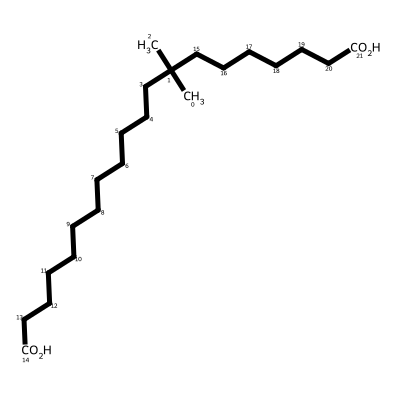 CC(C)(CCCCCCCCCCCC(=O)O)CCCCCCC(=O)O